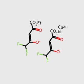 CCOC(=O)C(=O)C=C([O-])C(F)F.CCOC(=O)C(=O)C=C([O-])C(F)F.[Cu+2]